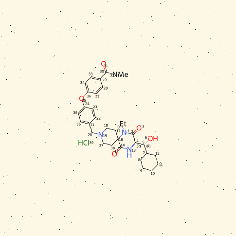 CCN1C(=O)[C@@H]([C@H](O)C2CCCCC2)NC(=O)C12CCN(Cc1ccc(Oc3ccc(C(=O)NC)cc3)cc1)CC2.Cl